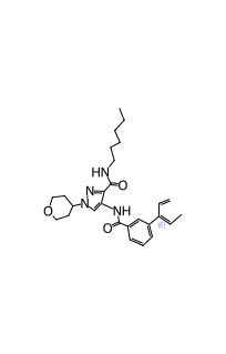 C=C/C(=C\C)c1cccc(C(=O)Nc2cn(C3CCOCC3)nc2C(=O)NCCCCCC)c1